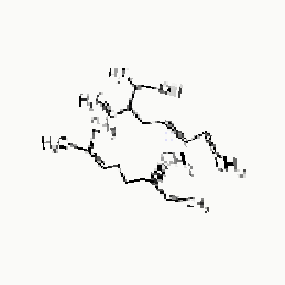 C=C/C=C/CC(C=C)C(C)O.C=CC(=C)CCC=C(C)C